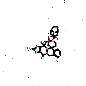 CCOC(=O)N1C2CCC1CC(N1CCC3(CC1)CN(C(=O)c1sc(C)nc1C(F)(F)F)Cc1ccccc13)C2